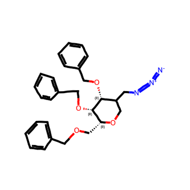 [N-]=[N+]=NCC1CO[C@H](COCc2ccccc2)[C@H](OCc2ccccc2)[C@@H]1OCc1ccccc1